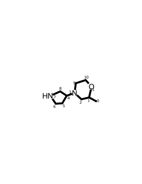 CC1CN(C2CCNC2)CCO1